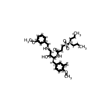 CCCN(CCC)S(=O)(=O)CCC(=O)N[C@@H](Cc1ccc(OC)c(F)c1)[C@@H](O)CNCc1cccc(OC)c1